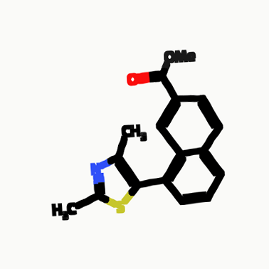 COC(=O)c1ccc2cccc(-c3sc(C)nc3C)c2c1